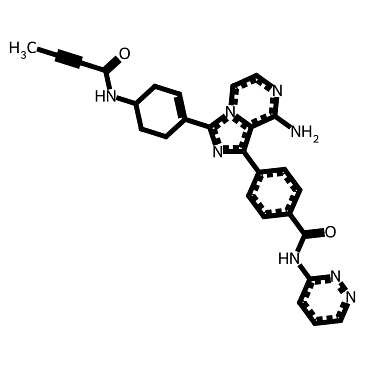 CC#CC(=O)NC1CC=C(c2nc(-c3ccc(C(=O)Nc4cccnn4)cc3)c3c(N)nccn23)CC1